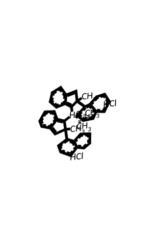 C[SiH](C)[Hf]([C]1=c2ccccc2=CC1(C)c1cccc2ccccc12)[C]1=c2ccccc2=CC1(C)c1cccc2ccccc12.Cl.Cl